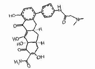 CN(C)CC(=O)Nc1ccc(-c2ccc(O)c3c2C[C@H]2C[C@H]4CC(O)=C(C(N)=O)C(=O)[C@@]4(O)C(O)=C2C3=O)cc1